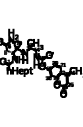 CCCCCCCC(=O)N[C@H](CC(N)=O)C(=O)N[C@@H](C)CNC(=O)Oc1ccc2c(C)cc(=O)oc2c1